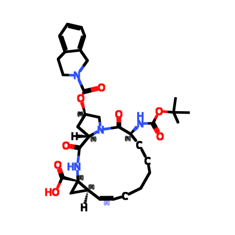 CC(C)(C)OC(=O)N[C@H]1CCCCC/C=C\[C@H]2C[C@]2(C(=O)O)NC(=O)[C@@H]2C[C@@H](OC(=O)N3CCc4ccccc4C3)CN2C1=O